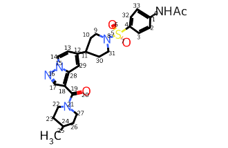 CC(=O)Nc1ccc(S(=O)(=O)N2CCC(c3ccn4ncc(C(=O)N5CCC(C)CC5)c4c3)CC2)cc1